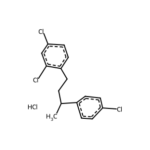 CC(CCc1ccc(Cl)cc1Cl)c1ccc(Cl)cc1.Cl